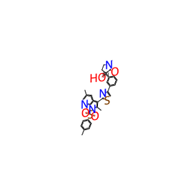 Cc1ccc(S(=O)(=O)n2c(C)c(-c3nc(-c4cccc([C@]5(O)CCN(C)C5=O)c4)cs3)c3cc(C)cnc32)cc1